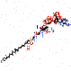 CCCCCCCCCCCCCCC[C@H](O)CC(=O)SCCNC(=O)CCNC(=O)[C@H](O)C(C)(C)COP(=O)(O)OP(=O)(O)OC[C@H]1O[C@@H](n2cnc3c(N)ncnc32)[C@H](O)[C@@H]1OP(=O)(O)O